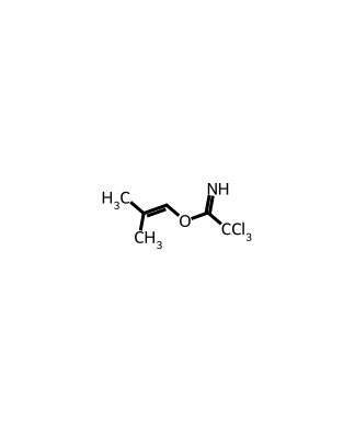 CC(C)=COC(=N)C(Cl)(Cl)Cl